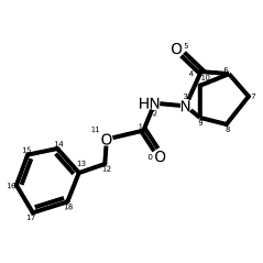 O=C(NN1C(=O)C2CCC1C2)OCc1ccccc1